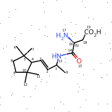 CC(C=CC1C(C)(C)CCC1(C)C)NC(=O)[C@@H](N)CC(=O)O